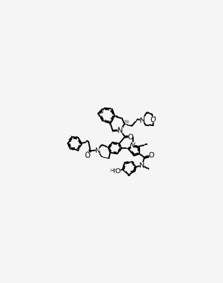 Cc1c(C(=O)N(C)c2ccc(O)cc2)cc(-c2cc3c(cc2C(=O)N2Cc4ccccc4C[C@H]2CCN2CCOCC2)CN(C(=O)Cc2ccccc2)CC3)n1C